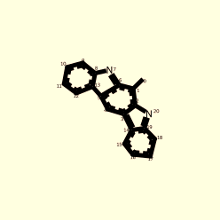 Cc1c2c(cc3c1=Nc1ccccc1-3)=c1ccccc1=N2